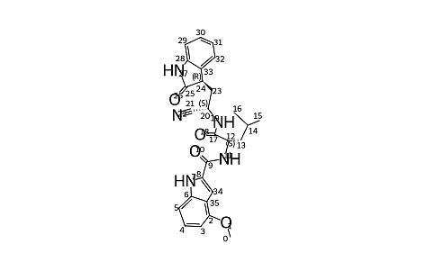 COc1cccc2[nH]c(C(=O)N[C@@H](CC(C)C)C(=O)N[C@H](C#N)C[C@H]3C(=O)Nc4ccccc43)cc12